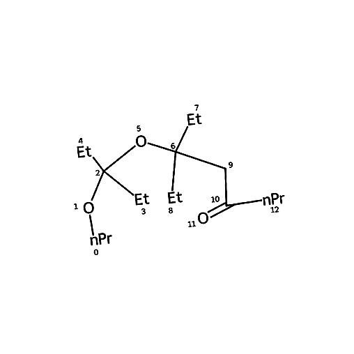 CCCOC(CC)(CC)OC(CC)(CC)CC(=O)CCC